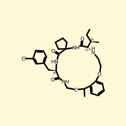 CC[C@@H](C)[C@@H]1NCCOc2ccccc2C(C)CCNC(=O)[C@@H](Cc2cccc(Cl)c2)NC(=O)C2(CCCC2)NC1=O